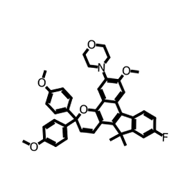 COc1ccc(C2(c3ccc(OC)cc3)C=Cc3c4c(c5cc(OC)c(N6CCOCC6)cc5c3O2)-c2ccc(F)cc2C4(C)C)cc1